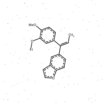 CC=C(c1ccc(OC)c(OCC)c1)c1ccc2occc2c1